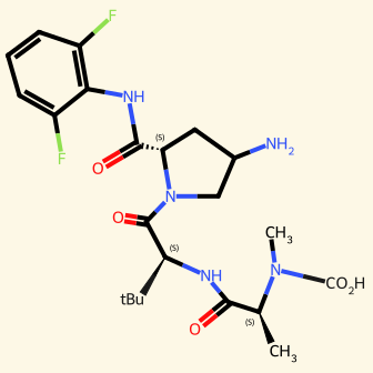 C[C@@H](C(=O)N[C@H](C(=O)N1CC(N)C[C@H]1C(=O)Nc1c(F)cccc1F)C(C)(C)C)N(C)C(=O)O